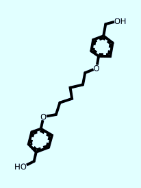 OCc1ccc(OCCCCCCOc2ccc(CO)cc2)cc1